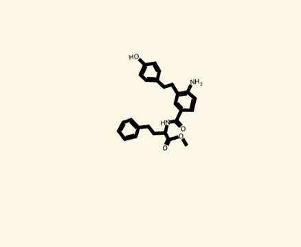 COC(=O)C(CCc1ccccc1)NC(=O)c1ccc(N)c(CCc2ccc(O)cc2)c1